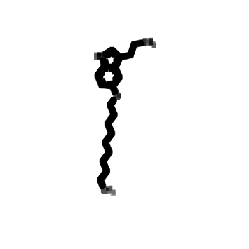 CCCCCCCCCCOc1ccc2[nH]cc(CCC)c2c1